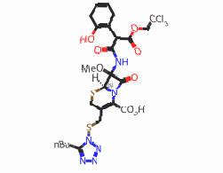 CCCCc1nnnn1SCC1=C(C(=O)O)N2C(=O)C(NC(=O)C(C(=O)OCC(Cl)(Cl)Cl)C3=C(O)CC=CC3)(OC)[C@@H]2SC1